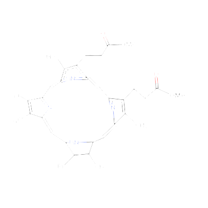 CCC1=C(C)C2=CC3NC(C=C4N=C(C=c5[nH]c(c(C)c5CCC(=O)OC)=CC1=N2)C(CCC(=O)OC)=C4C)C(C)C3CC